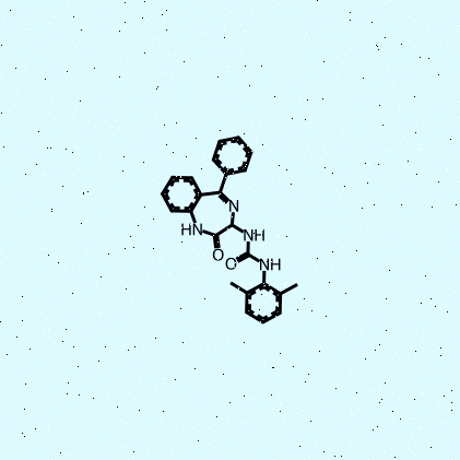 Cc1cccc(C)c1NC(=O)NC1N=C(c2ccccc2)c2ccccc2NC1=O